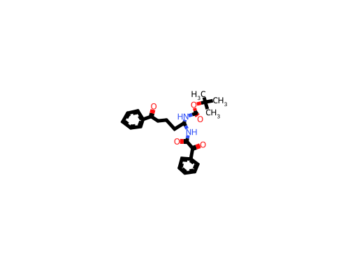 CC(C)(C)OC(=O)NC(CCCC(=O)c1ccccc1)NC(=O)C(=O)c1ccccc1